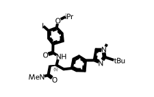 CNC(=O)C[C@H](Cc1ccc(-c2cn(C)c(C(C)(C)C)n2)cc1)NC(=O)c1ccc(OC(C)C)c(I)c1